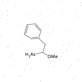 COC([AsH2])Cc1ccccc1